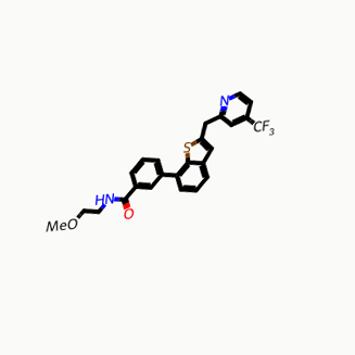 COCCNC(=O)c1cccc(-c2cccc3cc(Cc4cc(C(F)(F)F)ccn4)sc23)c1